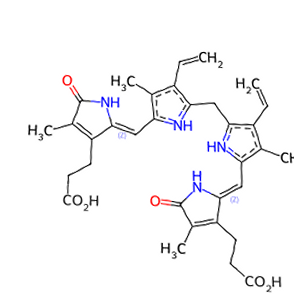 C=Cc1c(Cc2[nH]c(/C=C3\NC(=O)C(C)=C3CCC(=O)O)c(C)c2C=C)[nH]c(/C=C2\NC(=O)C(C)=C2CCC(=O)O)c1C